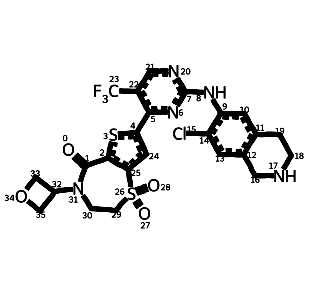 O=C1c2sc(-c3nc(Nc4cc5c(cc4Cl)CNCC5)ncc3C(F)(F)F)cc2S(=O)(=O)CCN1C1COC1